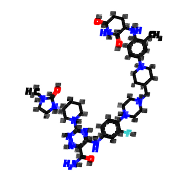 Cc1cc(N2CCC(CN3CCN(c4ccc(Nc5nc(N6CCC[C@@H](N7CCN(C)C7=O)C6)nnc5C(N)=O)cc4F)CC3)CC2)ccc1NC1CCC(=O)NC1=O